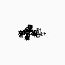 CC(C)C(NC(=O)C(NC(=O)C(Cc1cccc(Cl)c1)NC(=O)c1ccccc1)c1ccccc1)C(=O)C(F)(F)C(=O)NCC(F)(F)F